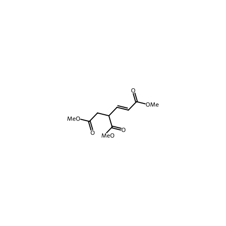 COC(=O)/C=C/C(CC(=O)OC)C(=O)OC